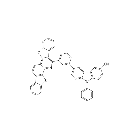 N#Cc1ccc2c(c1)c1cc(-c3cccc(-c4nc5c(ccc6c7ccccc7sc65)c5oc6ccccc6c45)c3)ccc1n2-c1ccccc1